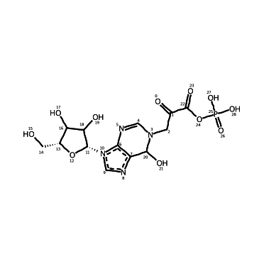 O=C(CN1C=Nc2c(ncn2[C@@H]2O[C@H](CO)C(O)C2O)C1O)C(=O)OP(=O)(O)O